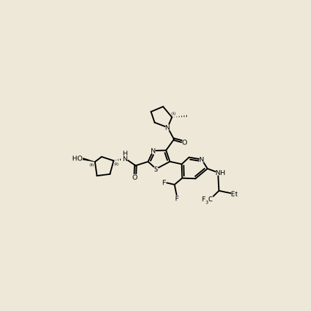 CCC(Nc1cc(C(F)F)c(-c2sc(C(=O)N[C@@H]3CC[C@@H](O)C3)nc2C(=O)N2CCC[C@@H]2C)cn1)C(F)(F)F